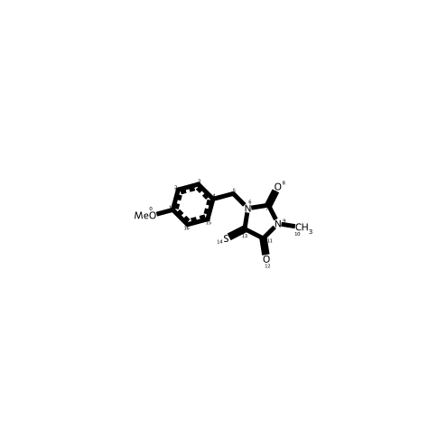 COc1ccc(CN2C(=O)N(C)C(=O)C2=S)cc1